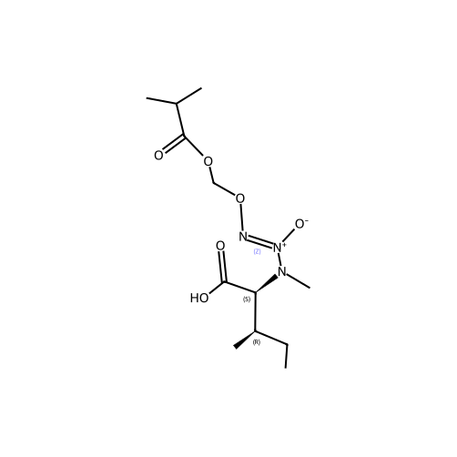 CC[C@@H](C)[C@@H](C(=O)O)N(C)/[N+]([O-])=N/OCOC(=O)C(C)C